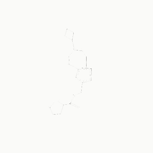 O=C(NCc1ccc2c(c1)CCN(C1CCC1)CC2)C1CCCO1